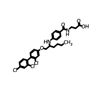 CCCCC(COc1ccc(-c2ccc(Cl)cc2Cl)c(Cl)c1)Nc1ccc(C(=O)NCCC(=O)O)cc1